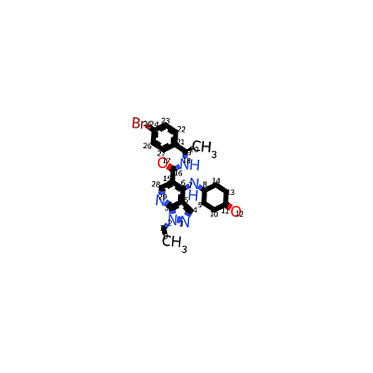 CCn1ncc2c(NC3CCC(=O)CC3)c(C(=O)N[C@H](C)c3ccc(Br)cc3)cnc21